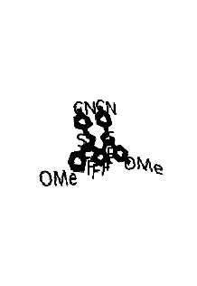 COc1ccc(-c2sc(-c3ccc(C#N)cc3)cc2C2=C(c3cc(-c4ccc(C#N)cc4)sc3-c3ccc(OC)cc3)C(F)(F)C(F)(F)C2(F)F)cc1